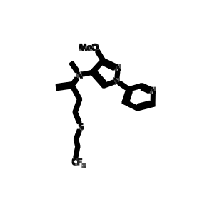 C=C(CCSCCC(F)(F)F)N(C)c1cn(-c2cccnc2)nc1OC